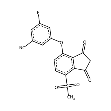 CS(=O)(=O)c1ccc(Oc2cc(F)cc(C#N)c2)c2c1C(=O)CC2=O